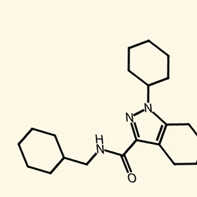 O=C(NCC1CCCCC1)c1nn(C2CCCCC2)c2c1CCCC2